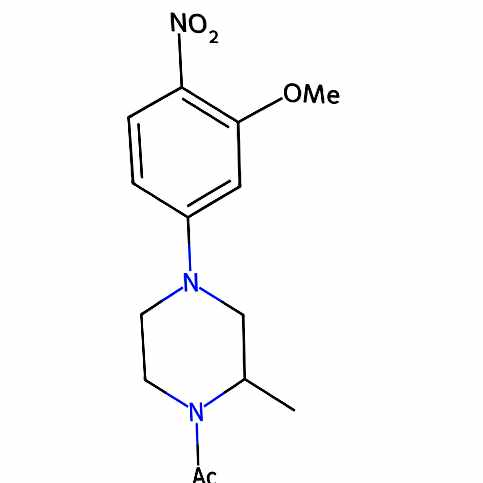 COc1cc(N2CCN(C(C)=O)C(C)C2)ccc1[N+](=O)[O-]